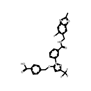 Cc1nc2cc(F)c(CNC(=O)c3cccc(-n4nc(C(F)(F)F)cc4OCc4ccc(C(=O)O)cc4)c3)cc2o1